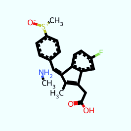 CC1=C(CC(=O)O)c2cc(F)ccc2/C1=C\c1ccc([S+](C)[O-])cc1.CN